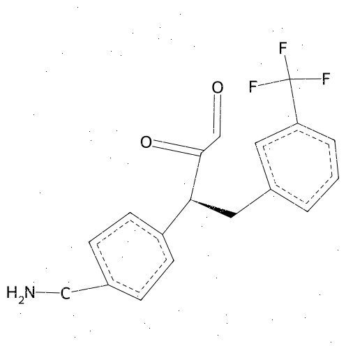 NCc1ccc([C@H](Cc2cccc(C(F)(F)F)c2)C(=O)C=O)cc1